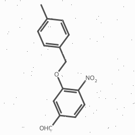 Cc1ccc(COc2cc(C=O)ccc2[N+](=O)[O-])cc1